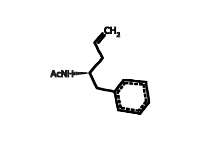 C=CC[C@H](Cc1ccccc1)NC(C)=O